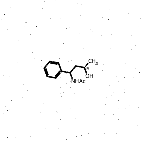 CC(=O)NC(C[C@@H](C)O)c1ccccc1